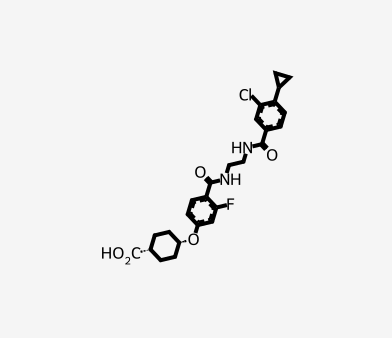 O=C(NCCNC(=O)c1ccc(O[C@H]2CC[C@@H](C(=O)O)CC2)cc1F)c1ccc(C2CC2)c(Cl)c1